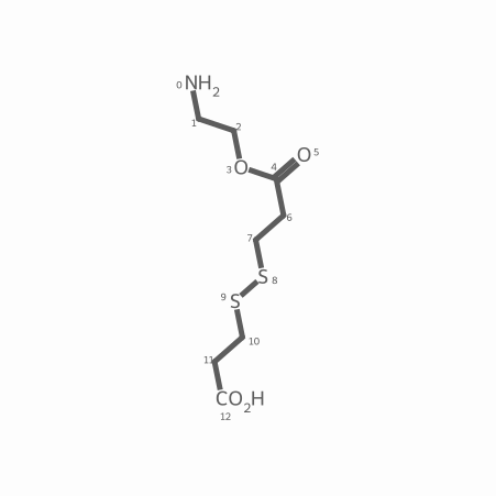 NCCOC(=O)CCSSCCC(=O)O